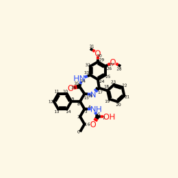 CCCC(NC(=O)O)C(c1ccccc1)C1N=C(c2ccccc2)c2cc(OC)c(OC)cc2NC1=O